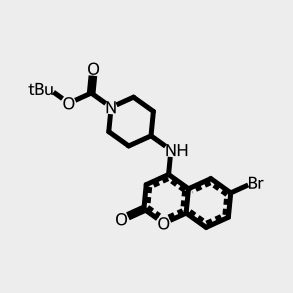 CC(C)(C)OC(=O)N1CCC(Nc2cc(=O)oc3ccc(Br)cc23)CC1